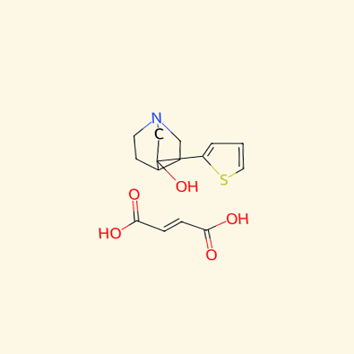 O=C(O)C=CC(=O)O.OC1(c2cccs2)CN2CCC1CC2